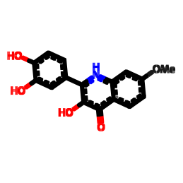 COc1ccc2c(=O)c(O)c(-c3ccc(O)c(O)c3)[nH]c2c1